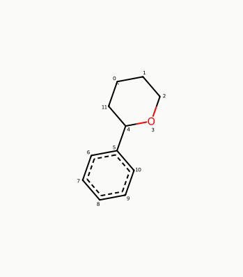 [C]1CCOC(c2ccccc2)C1